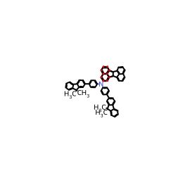 CC1(C)c2ccccc2-c2ccc(-c3ccc(N(c4ccc(-c5ccc6c(c5)C(C)(C)c5ccccc5-6)cc4)c4cc5c6c(cccc6c4)C46c7cccc8cccc(c78)C54c4cccc5cccc6c45)cc3)cc21